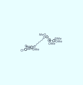 COc1cc(C2NC(=O)c3cc(Cl)ccc3N2)ccc1OCCCCCCCCCCOc1cc(-c2cc(-c3cc(OC)c(OC)c(OC)c3)no2)ccc1OC